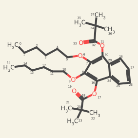 CCCCCCOc1c(OCCCCCC)c(OC(=O)C(C)(C)C)c2ccccc2c1OC(=O)C(C)(C)C